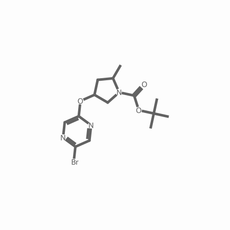 CC1CC(Oc2cnc(Br)cn2)CN1C(=O)OC(C)(C)C